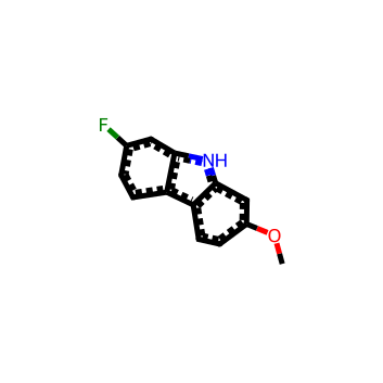 COc1ccc2c(c1)[nH]c1cc(F)ccc12